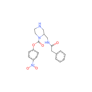 O=C(Cc1ccccc1)NCC1CNCCN1C(=O)Oc1ccc([N+](=O)[O-])cc1